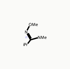 CN/C(=N\OC)C(C)C